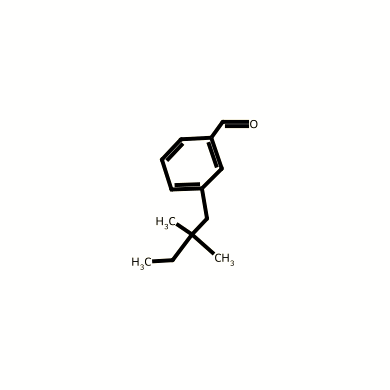 CCC(C)(C)Cc1cccc(C=O)c1